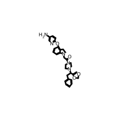 Nc1ccc(Oc2cccc3c2CCN3CC(=O)N2CCN(C(Cc3ccccc3)C3=COCO3)CC2)nc1